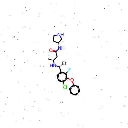 CC[C@@H](N[C@@H](C)CC(=O)N[C@@H]1CCNC1)c1ccc(Cl)c(Oc2ccccc2)c1F